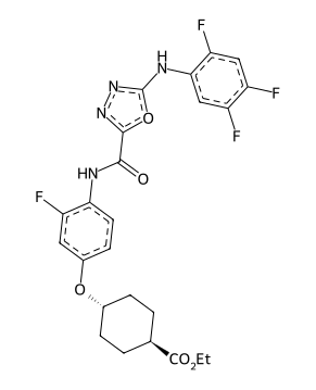 CCOC(=O)[C@H]1CC[C@H](Oc2ccc(NC(=O)c3nnc(Nc4cc(F)c(F)cc4F)o3)c(F)c2)CC1